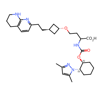 Cc1cc(C)n([C@H]2CCCC[C@@H]2OC(=O)NC(CCO[C@H]2C[C@H](CCc3ccc4c(n3)NCCC4)C2)C(=O)O)n1